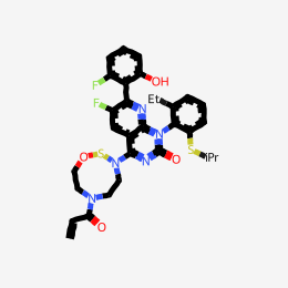 C=CC(=O)N1CCOSN(c2nc(=O)n(-c3c(CC)cccc3SC(C)C)c3nc(-c4c(O)cccc4F)c(F)cc23)CC1